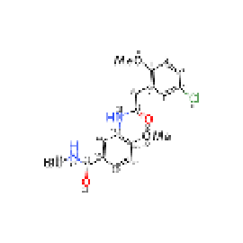 COc1ccc(Cl)cc1CC(=O)Nc1cc(C(=O)NC(C)(C)C)ccc1OC